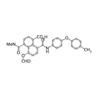 CNC(=O)c1ccc(C(=O)O)c2c(C(=O)Nc3ccc(Oc4ccc(C)cc4)cc3)ccc(OC=O)c12